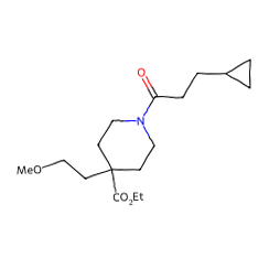 CCOC(=O)C1(CCOC)CCN(C(=O)CCC2CC2)CC1